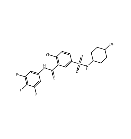 O=C(Nc1cc(F)c(F)c(F)c1)c1cc(S(=O)(=O)NC2CCC(O)CC2)ccc1Cl